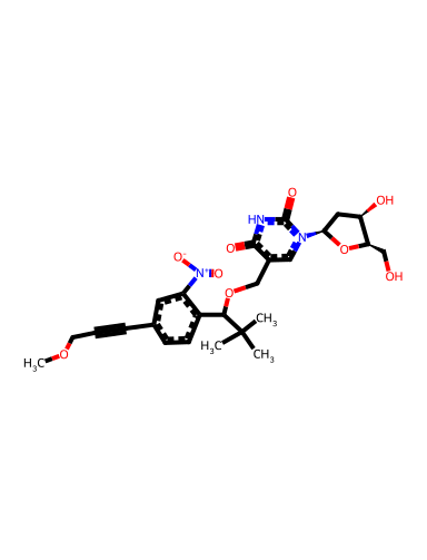 COCC#Cc1ccc(C(OCc2cn([C@H]3C[C@@H](O)[C@@H](CO)O3)c(=O)[nH]c2=O)C(C)(C)C)c([N+](=O)[O-])c1